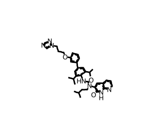 CC(C)CCN(C(=O)Nc1c(C(C)C)cc(-c2cccc(OCCCn3cncn3)c2)cc1C(C)C)c1cc2cccnc2[nH]c1=O